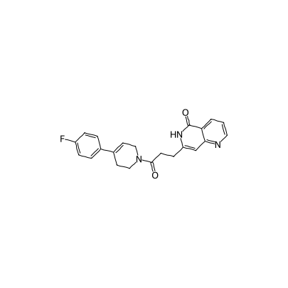 O=C(CCc1cc2ncccc2c(=O)[nH]1)N1CC=C(c2ccc(F)cc2)CC1